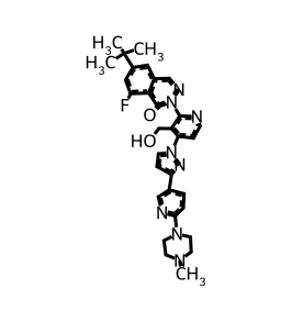 CN1CCN(c2ccc(-c3ccn(-c4ccnc(-n5ncc6cc(C(C)(C)C)cc(F)c6c5=O)c4CO)n3)cn2)CC1